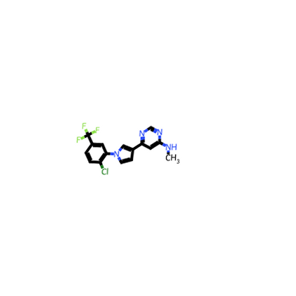 CNc1cc(-c2ccn(-c3cc(C(F)(F)F)ccc3Cl)c2)ncn1